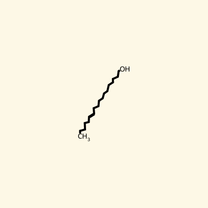 CCCCCC=CCCCCCCCCCCCO